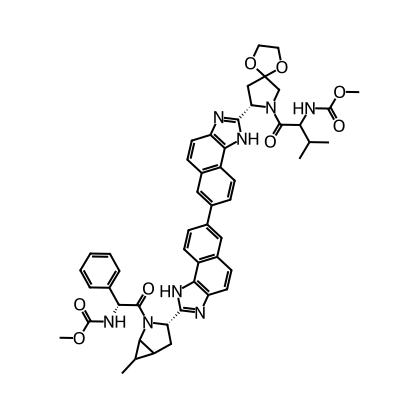 COC(=O)NC(C(=O)N1CC2(C[C@H]1c1nc3ccc4cc(-c5ccc6c(ccc7nc([C@@H]8CC9C(C)C9N8C(=O)[C@H](NC(=O)OC)c8ccccc8)[nH]c76)c5)ccc4c3[nH]1)OCCO2)C(C)C